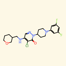 O=c1c(Cl)c(NCC2CCCOC2)cnn1C1CCN(c2cc(F)cc(F)c2)CC1